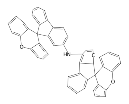 C1=CC(Nc2ccc3c(c2)C2(c4ccccc4Oc4ccccc42)c2ccccc2-3)=C2c3ccccc3C3(c4ccccc4Oc4ccccc43)C2C1